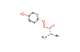 CCCCC(C)C(=O)OOc1ccc(O)cc1